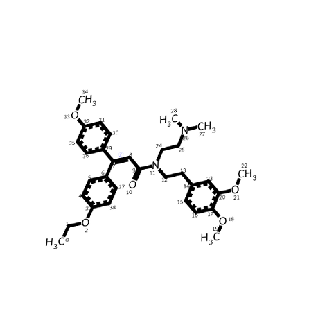 CCOc1ccc(/C(=C\C(=O)N(CCc2ccc(OC)c(OC)c2)CCN(C)C)c2ccc(OC)cc2)cc1